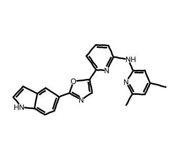 Cc1cc(C)nc(Nc2cccc(-c3cnc(-c4ccc5[nH]ccc5c4)o3)n2)c1